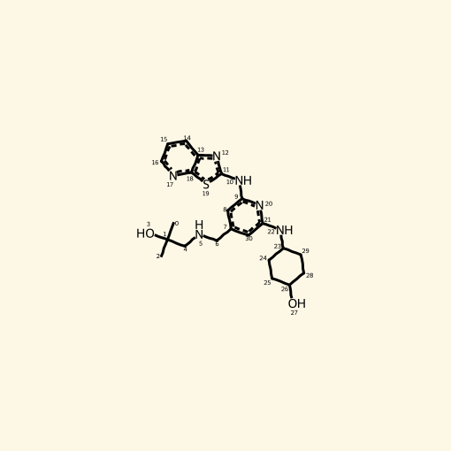 CC(C)(O)CNCc1cc(Nc2nc3cccnc3s2)nc(NC2CCC(O)CC2)c1